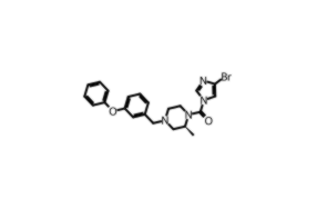 C[C@H]1CN(Cc2cccc(Oc3ccccc3)c2)CCN1C(=O)n1cnc(Br)c1